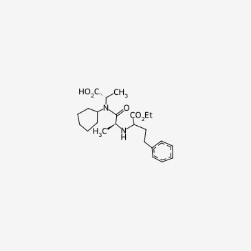 CCOC(=O)C(CCc1ccccc1)N[C@@H](C)C(=O)N(C1CCCCC1)[C@@H](C)C(=O)O